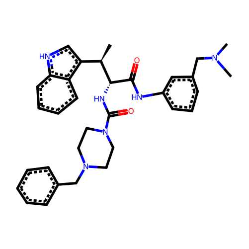 C[C@H](c1c[nH]c2ccccc12)[C@@H](NC(=O)N1CCN(Cc2ccccc2)CC1)C(=O)Nc1cccc(CN(C)C)c1